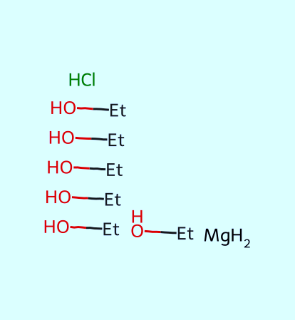 CCO.CCO.CCO.CCO.CCO.CCO.Cl.[MgH2]